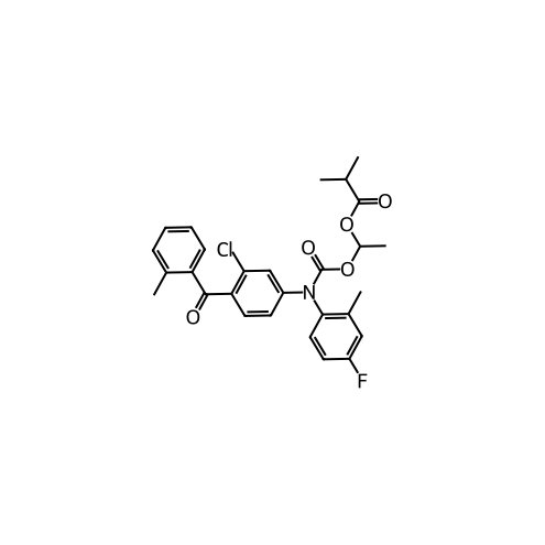 Cc1ccccc1C(=O)c1ccc(N(C(=O)OC(C)OC(=O)C(C)C)c2ccc(F)cc2C)cc1Cl